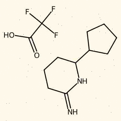 N=C1CCCC(C2CCCC2)N1.O=C(O)C(F)(F)F